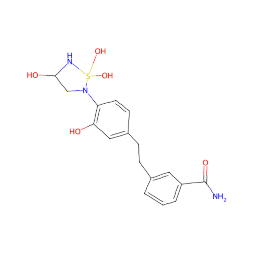 NC(=O)c1cccc(CCc2ccc(N3CC(O)NS3(O)O)c(O)c2)c1